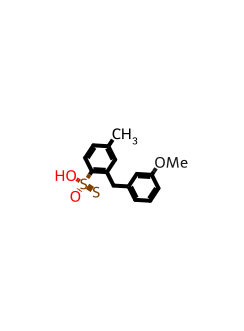 COc1cccc(Cc2cc(C)ccc2S(=O)(O)=S)c1